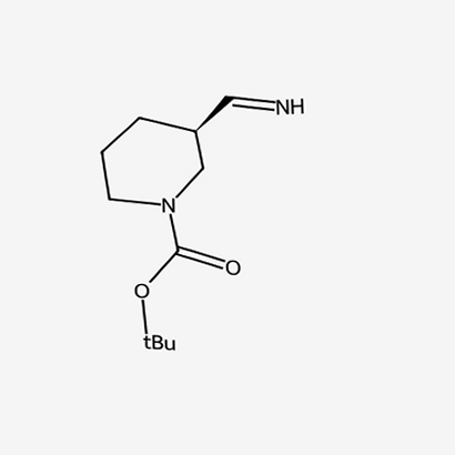 CC(C)(C)OC(=O)N1CCC[C@@H](C=N)C1